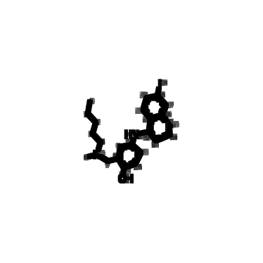 CCCCCN(C)Cc1cc(Nc2ccnc3cc(I)ccc23)ccc1O